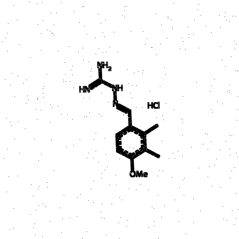 COc1ccc(/C=N/NC(=N)N)c(C)c1C.Cl